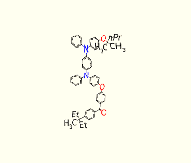 CCCC(C)(C)Oc1ccc(N(c2ccccc2)c2ccc(N(c3ccccc3)c3ccc(Oc4ccc(C(=O)c5ccc(C(C)(CC)CC)cc5)cc4)cc3)cc2)cc1